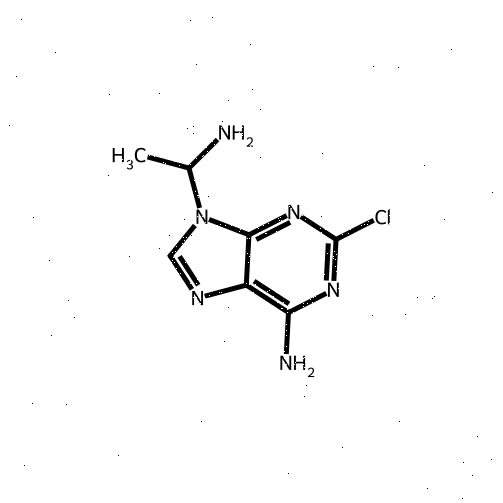 CC(N)n1cnc2c(N)nc(Cl)nc21